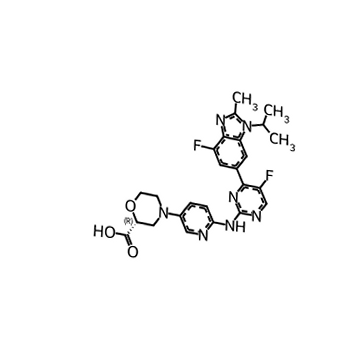 Cc1nc2c(F)cc(-c3nc(Nc4ccc(N5CCO[C@@H](C(=O)O)C5)cn4)ncc3F)cc2n1C(C)C